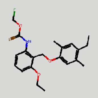 CCOc1cccc(NC(=S)OCF)c1COc1cc(C)c(CC)cc1C